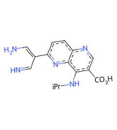 CC(C)Nc1c(C(=O)O)cnc2ccc(/C(C=N)=C/N)nc12